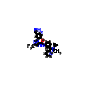 CN(C1CC1)C(c1cccc(NC(=O)c2cc(C(F)(F)F)nn2-c2cccc(CN)c2)c1)c1ccccn1